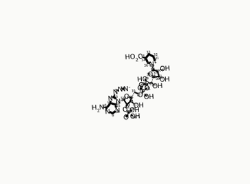 [N-]=[N+]=Nc1nc2c(N)ncnc2n1[C@@H]1O[C@H](COP(=O)(O)OP(=O)(O)C(O)[C@@H]2O[C@@H]([n+]3cccc(C(=O)O)c3)[C@H](O)[C@@H]2O)[C@@H](O)[C@H]1OP(=O)(O)O